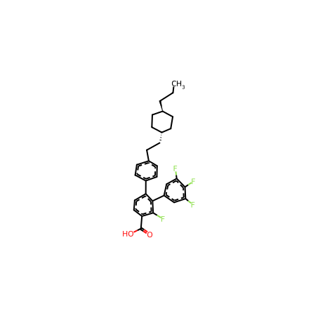 CCC[C@H]1CC[C@H](CCc2ccc(-c3ccc(C(=O)O)c(F)c3-c3cc(F)c(F)c(F)c3)cc2)CC1